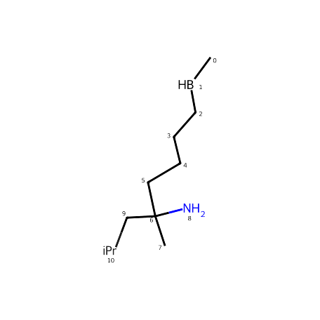 CBCCCCC(C)(N)CC(C)C